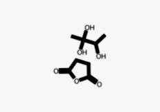 CC(O)C(C)(O)O.O=C1CCC(=O)O1